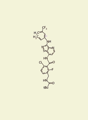 C=C/C(=C\C(=C)C(F)(F)F)Nc1nsc2c(NC(=O)c3c(Cl)ccc(CNC(=O)C(C)(C)C)c3F)ccnc12